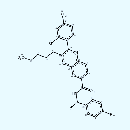 C[C@@H](NC(=O)c1ccc2nc(-c3ccc(C(F)(F)F)cc3Cl)c(CCCCC(=O)O)nc2c1)c1ccc(F)cc1